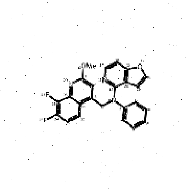 COc1cc(CN(c2ccccc2)c2nccc3occc23)c2ccc(F)c(F)c2n1